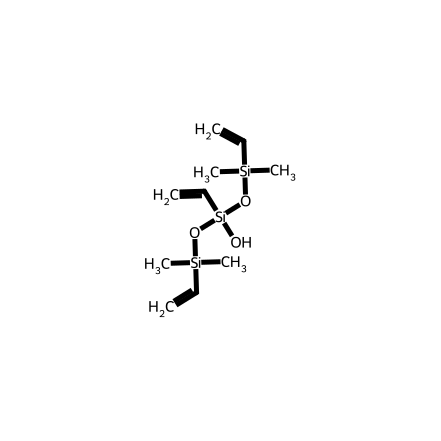 C=C[Si](C)(C)O[Si](O)(C=C)O[Si](C)(C)C=C